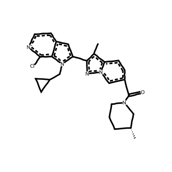 Cc1c(-c2cc3ccnc(Cl)c3n2CC2CC2)nn2cc(C(=O)N3CCC[C@@H](C)C3)ccc12